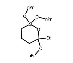 CCCOC1(CC)CCC[Si](OCCC)(OCCC)O1